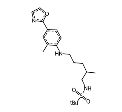 Cc1cc(-c2ncco2)ccc1NCCCC(C)CNS(=O)(=O)C(C)(C)C